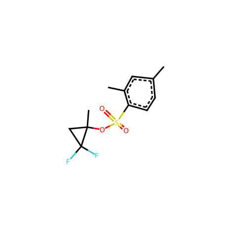 Cc1ccc(S(=O)(=O)OC2(C)CC2(F)F)c(C)c1